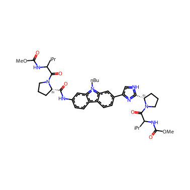 CCCCn1c2cc(NC(=O)[C@@H]3CCCN3C(=O)C(NC(=O)OC)C(C)C)ccc2c2ccc(-c3c[nH]c([C@@H]4CCCN4C(=O)C(NC(=O)OC)C(C)C)n3)cc21